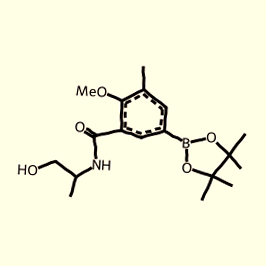 COc1c(C)cc(B2OC(C)(C)C(C)(C)O2)cc1C(=O)NC(C)CO